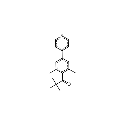 Cc1cc(-c2ccncc2)cc(C)c1C(=O)C(C)(C)C